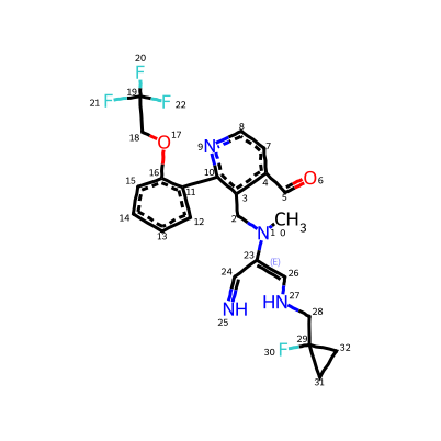 CN(Cc1c(C=O)ccnc1-c1ccccc1OCC(F)(F)F)/C(C=N)=C/NCC1(F)CC1